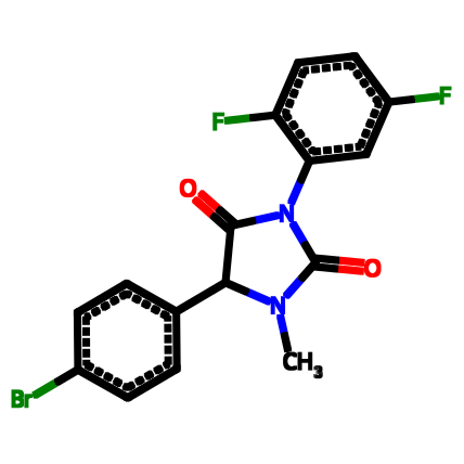 CN1C(=O)N(c2cc(F)ccc2F)C(=O)C1c1ccc(Br)cc1